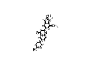 CCN1CCC(c2ccc3nc(-c4cc(C)c5nn(C)cc5c4)cc(=O)n3c2)CC1